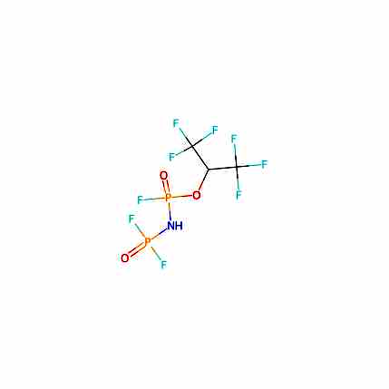 O=P(F)(F)NP(=O)(F)OC(C(F)(F)F)C(F)(F)F